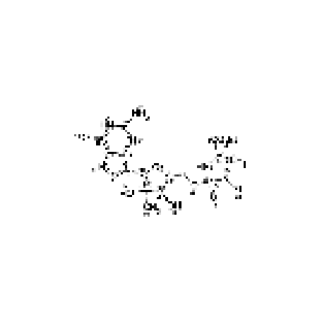 CCOC(=O)[C@H](C)N[P@](=O)(OC[C@H]1O[C@@H](n2cnc3c(=O)[nH]c(N)nc32)[C@](C)(O)[C@@H]1O)SCC